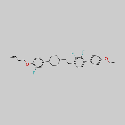 C=CCCOc1ccc(C2CCC(CCc3ccc(-c4ccc(OCC)cc4)c(F)c3F)CC2)cc1F